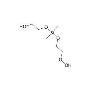 C[Si](C)(OCCO)OCCOO